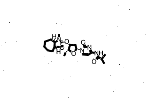 CC[C@H]1O[C@@H](n2ccc(NC(=O)C(C)C)nc2=O)CC1O[P@]1O[C@@H]2CCCCC[C@H]2N1C